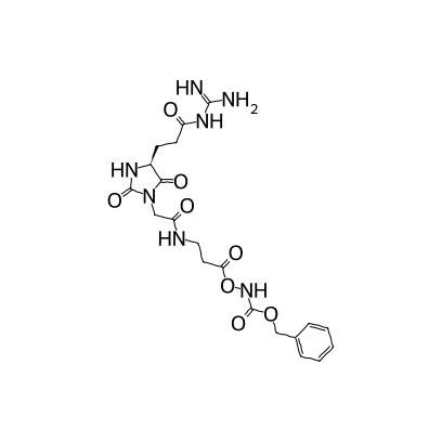 N=C(N)NC(=O)CC[C@@H]1NC(=O)N(CC(=O)NCCC(=O)ONC(=O)OCc2ccccc2)C1=O